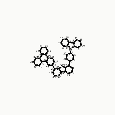 c1cc(-c2ccc(-n3c4ccccc4c4ccccc43)cc2)c2sc3c(-c4ccc5c6ccccc6c6ccccc6c5c4)cccc3c2c1